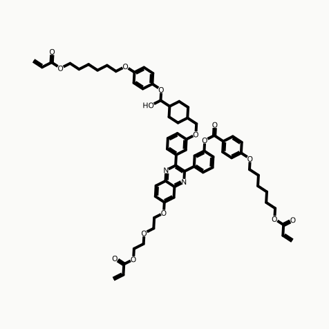 C=CC(=O)OCCCCCCOc1ccc(OC(O)C2CCC(COc3cccc(-c4nc5ccc(OCCOCCOC(=O)C=C)cc5nc4-c4cccc(OC(=O)c5ccc(OCCCCCCOC(=O)C=C)cc5)c4)c3)CC2)cc1